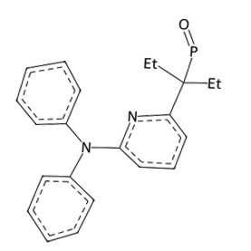 CCC(CC)(P=O)c1cccc(N(c2ccccc2)c2ccccc2)n1